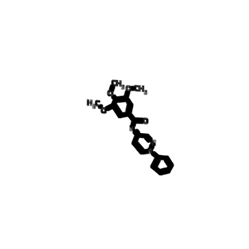 COc1cc(C(=O)N=c2ccn(-c3ccccc3)nc2)cc(OC)c1OC